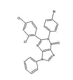 O=c1c2ncn(-c3ccccc3)c2nc(-c2ccc(Cl)cc2Cl)n1-c1ccc(Br)cc1